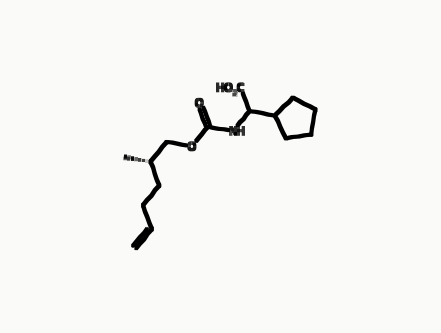 C=CCC[C@H](C)COC(=O)NC(C(=O)O)C1CCCC1